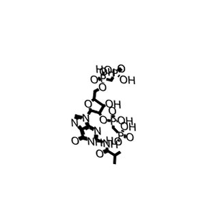 CC(C)C(=O)Nc1nc2c(ncn2C2OC(COP(=O)(O)CP(=O)(O)O)C(O)C2OP(=O)(O)CP(=O)(O)O)c(=O)[nH]1